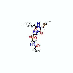 CC(C)CSC[C@H](NC(=O)CCC(=O)O)C(=O)NCCS(=O)(=O)CCNC(=O)CC(C)C